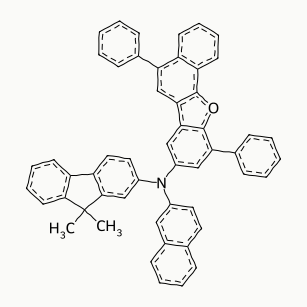 CC1(C)c2ccccc2-c2ccc(N(c3ccc4ccccc4c3)c3cc(-c4ccccc4)c4oc5c6ccccc6c(-c6ccccc6)cc5c4c3)cc21